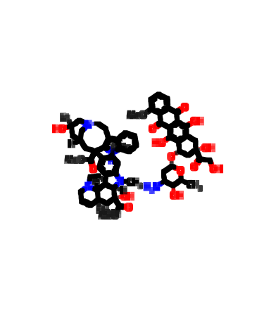 CC[C@]1(O)C[C@@H]2C[N@@](CCc3c([nH]c4ccccc34)[C@@](C(=O)OC)(c3cc4c(cc3OC)N(C)[C@H]3[C@@](O)(C(=O)OC)[C@H](OC(C)=O)[C@]5(CC)C=CCN6CC[C@]43[C@@H]65)C2)C1.COc1cccc2c1C(=O)c1c(O)c3c(c(O)c1C2=O)C[C@@](O)(C(=O)CO)C[C@@H]3O[C@H]1C[C@H](N)[C@@H](O)[C@H](C)O1